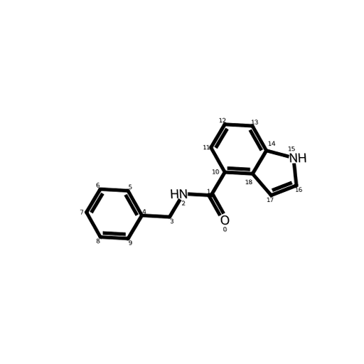 O=C(NCc1ccccc1)c1cccc2[nH]ccc12